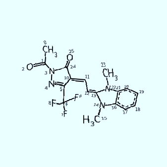 CC(=O)N1N=C(C(F)(F)F)/C(=C\C=C2N(C)c3ccccc3N2C)C1=O